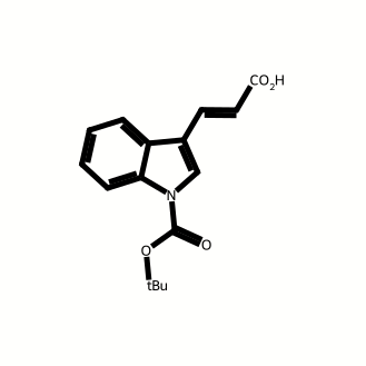 CC(C)(C)OC(=O)n1cc(C=CC(=O)O)c2ccccc21